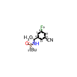 C[C@@H](N[S@@+]([O-])C(C)(C)C)c1cc(F)cc(C#N)c1